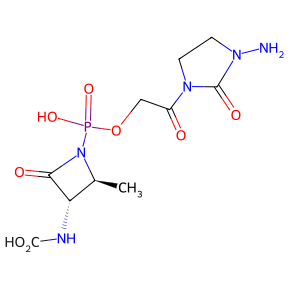 C[C@H]1[C@H](NC(=O)O)C(=O)N1P(=O)(O)OCC(=O)N1CCN(N)C1=O